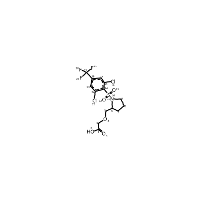 O=C(O)COCC1CCCN1S(=O)(=O)c1c(Cl)cc(C(F)(F)F)cc1Cl